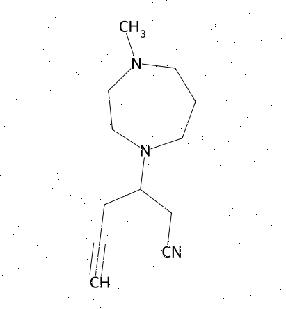 C#CCC(CC#N)N1CCCN(C)CC1